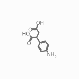 Nc1ccc(C(CC(=O)O)C(=O)O)cc1